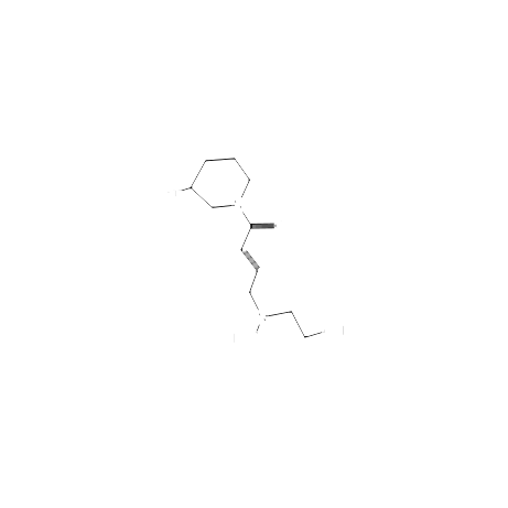 CC(C)C1CCCN(C(=O)/C=C/CN(C)CCO)C1